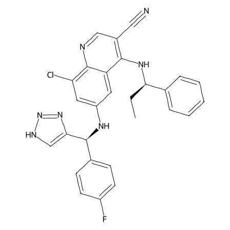 CC[C@@H](Nc1c(C#N)cnc2c(Cl)cc(N[C@@H](c3ccc(F)cc3)c3c[nH]nn3)cc12)c1ccccc1